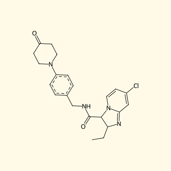 CCC1N=C2C=C(Cl)C=CN2C1C(=O)NCc1ccc(N2CCC(=O)CC2)cc1